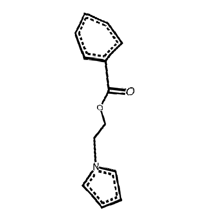 O=C(OCCn1cccc1)c1ccccc1